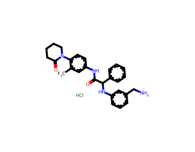 Cl.NCc1cccc(NC(C(=O)Nc2ccc(N3CCCCC3=O)c(C(F)(F)F)c2)c2ccccc2)c1